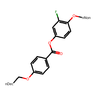 CCCCCCCCCCCOc1ccc(C(=O)Oc2ccc(OCCCCCCCCC)c(F)c2)cc1